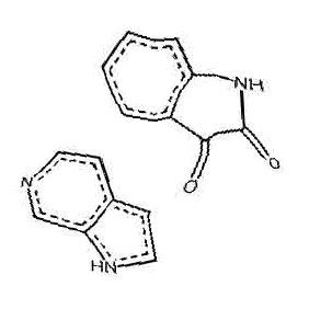 O=C1Nc2ccccc2C1=O.c1cc2cc[nH]c2cn1